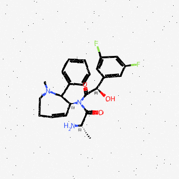 C[C@H](N)C(=O)N(C(=O)[C@H](O)c1cc(F)cc(F)c1)[C@H]1C=CCCN(C)C1c1ccccc1